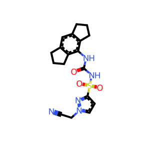 N#CCn1ccc(S(=O)(=O)NC(=O)Nc2c3c(cc4c2CCC4)CCC3)n1